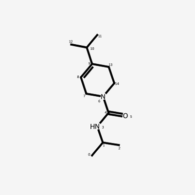 CC(C)NC(=O)N1CC=C(C(C)C)CC1